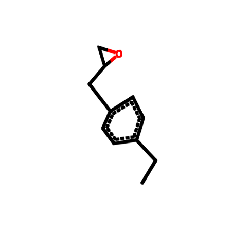 CCc1ccc(CC2CO2)cc1